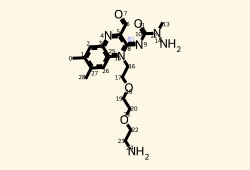 Cc1cc2nc(C=O)/c(=N\C(=O)N(C)N)n(CCOCCOCCN)c2cc1C